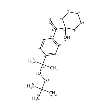 CC(C)(C)OOC(C)(C)c1ccc(C(=O)C2(O)CCCCC2)cc1